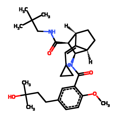 COc1ccc(CCC(C)(C)O)cc1C(=O)N[C@H]1[C@@H](C(=O)NCC(C)(C)C)[C@H]2CC[C@@H]1/C2=C\C1CC1